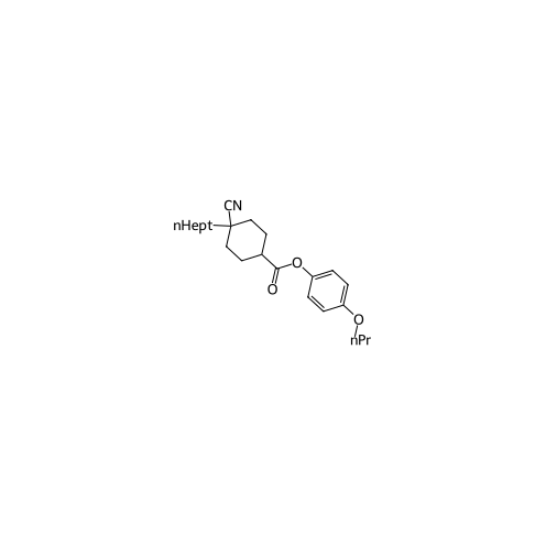 CCCCCCCC1(C#N)CCC(C(=O)Oc2ccc(OCCC)cc2)CC1